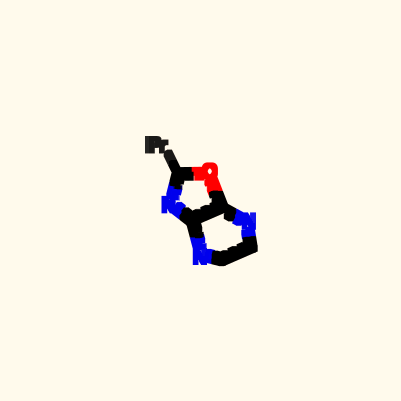 CC(C)c1nc2nccnc2o1